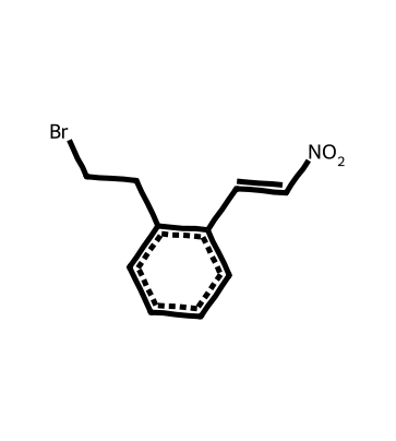 O=[N+]([O-])C=Cc1ccccc1CCBr